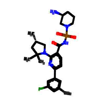 CC(C)COc1cc(F)cc(-c2ccc(C(=O)NS(=O)(=O)N3CCC[C@H](N)C3)c(N3C[C@@H](C)CC3(C)C)n2)c1